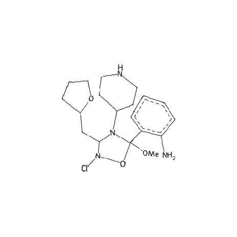 COC1(c2ccccc2N)ON(Cl)C(CC2CCCO2)N1C1CCNCC1